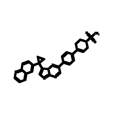 CS(=O)(=O)N1CC=C(c2ccc(-c3cnc4ncc(C5(c6ccc7ncccc7c6)CC5)n4n3)cc2)CC1